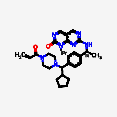 C=CC(=O)N1CCN(C(c2ccc([C@H](C)Nc3ncc4cnc(=O)n(C(C)C)c4n3)cc2)C2CCCC2)CC1